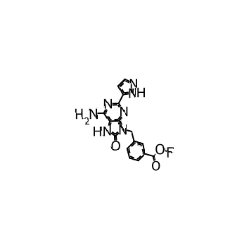 Nc1nc(-c2ccn[nH]2)nc2c1[nH]c(=O)n2Cc1cccc(C(=O)OF)c1